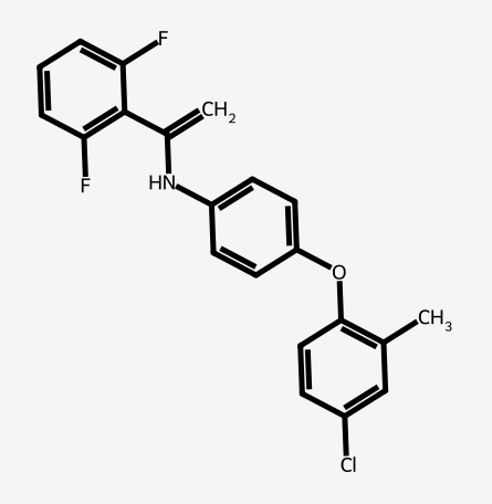 C=C(Nc1ccc(Oc2ccc(Cl)cc2C)cc1)c1c(F)cccc1F